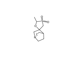 CC1OC2(CN3CCC2CC3)CS1(=O)=O